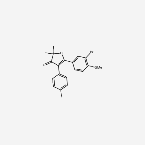 CSc1ccc(C2=C(c3ccc(F)cc3)C(=O)C(C)(C)O2)cc1Br